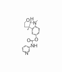 CN1c2ccc(OC(=O)Nc3cccnc3)cc2[C@]2(C)CCO[C@H]12